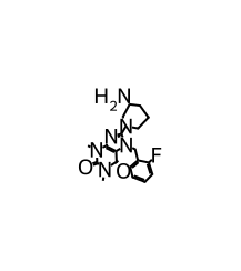 Cn1c(=O)c2c(nc(N3CCCC(N)C3)n2Cc2ccccc2F)n(C)c1=O